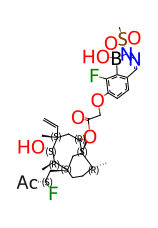 C=C[C@]1(C)C[C@@H](OC(=O)COc2ccc3c(c2F)B(O)N(S(C)(=O)=O)N=C3)[C@@]2(C)C[C@](C[C@H](F)C(C)=O)(CC[C@H]2C)[C@@H](C)[C@@H]1O